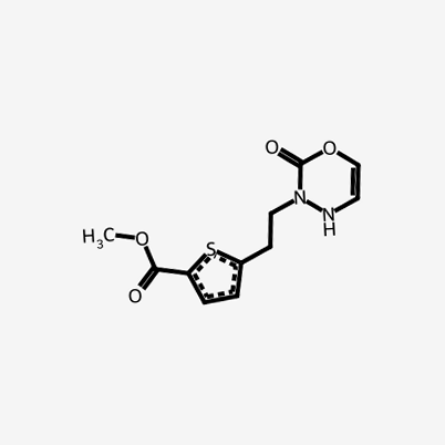 COC(=O)c1ccc(CCN2NC=COC2=O)s1